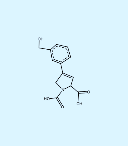 O=C(O)C1C=C(c2cccc(CO)c2)CN1C(=O)O